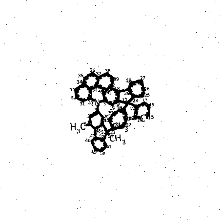 CC1C=C(N(c2ccc3c(c2)C(c2ccccc2)(c2ccccc2)c2ccccc2-3)c2cccc3ccc4ccccc4c23)C=C2C1c1ccccc1C2(C)C